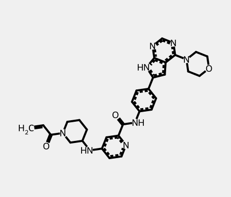 C=CC(=O)N1CCCC(Nc2ccnc(C(=O)Nc3ccc(-c4cc5c(N6CCOCC6)ncnc5[nH]4)cc3)c2)C1